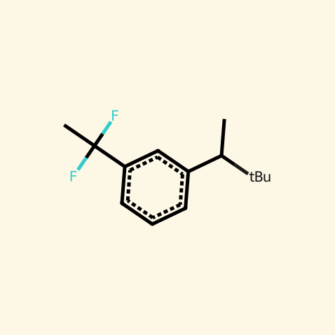 CC(c1cccc(C(C)(F)F)c1)C(C)(C)C